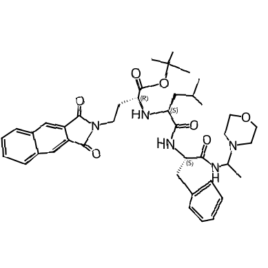 CC(C)C[C@H](N[C@H](CCN1C(=O)c2cc3ccccc3cc2C1=O)C(=O)OC(C)(C)C)C(=O)N[C@@H](Cc1ccccc1)C(=O)NC(C)N1CCOCC1